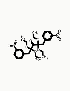 CCOC(Cc1cccc([N+](=O)[O-])c1)(OCC)C(=O)C(Cc1cccc([N+](=O)[O-])c1)(OCC)OCC